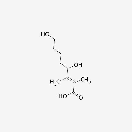 CC(C(=O)O)=C(C)C(O)CCCCO